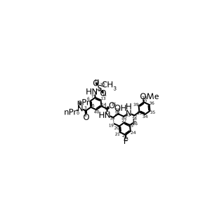 CCCN(CCC)C(=O)c1cc(NS(C)(=O)=O)cc(C(=O)N[C@@H](Cc2cc(F)cc(F)c2)[C@H](O)CNCc2cccc(OC)c2)c1